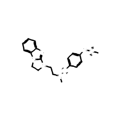 CN(CCN1CCn2c1nc1ccccc12)S(=O)(=O)c1ccc(NS(C)(=O)=O)cc1